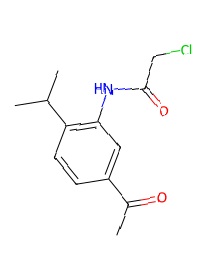 CC(=O)c1ccc(C(C)C)c(NC(=O)CCl)c1